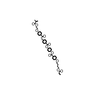 C=CC(=O)OCCCCOc1ccc(C(=O)Oc2ccc(OC(=O)c3ccc(SC(=O)c4ccc(OCCOC(=O)C(=C)C)cc4)cc3)cc2)cc1